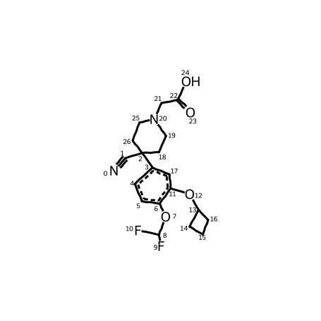 N#CC1(c2ccc(OC(F)F)c(OC3CCC3)c2)CCN(CC(=O)O)CC1